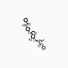 CCN[C@@H](CCOc1cc2nccc(Oc3ccc(NC(=O)c4ccccc4)cc3)c2cc1OC)C(=O)OC1CCCC1